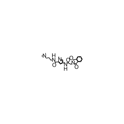 CN(C)CCCNC(=O)c1cc(NC(=O)CN2C(=O)c3ccccc3C2=O)cn1C